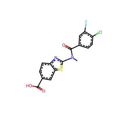 CN(C(=O)c1ccc(Cl)c(F)c1)c1nc2ccc(C(=O)O)cc2s1